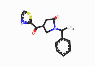 CC(c1ccccc1)N1CC(C(=O)c2nccs2)CC1=O